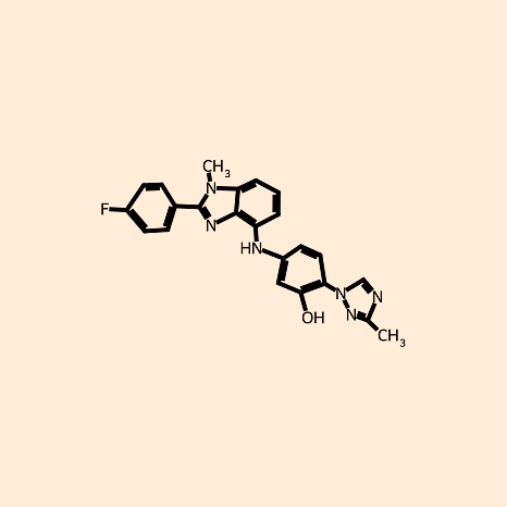 Cc1ncn(-c2ccc(Nc3cccc4c3nc(-c3ccc(F)cc3)n4C)cc2O)n1